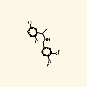 COc1ccc(CNC(C)c2cc(Cl)ccc2Cl)cc1OC